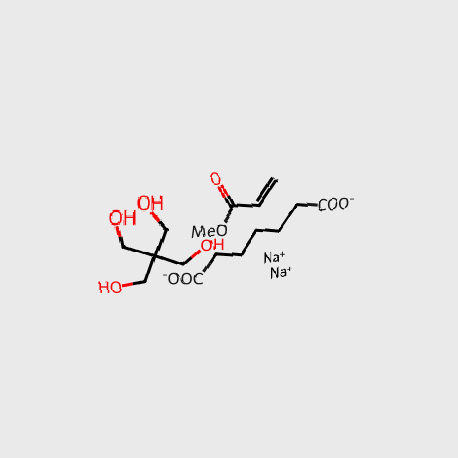 C=CC(=O)OC.O=C([O-])CCCCCC(=O)[O-].OCC(CO)(CO)CO.[Na+].[Na+]